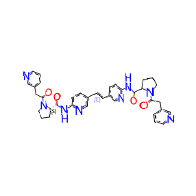 O=C(Nc1ccc(/C=C/c2ccc(NC(=O)[C@@H]3CCCN3C(=O)Cc3cccnc3)nc2)cn1)C1CCCN1C(=O)Cc1cccnc1